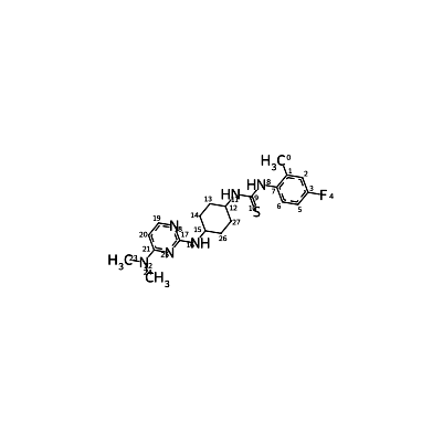 Cc1cc(F)ccc1NC(=S)NC1CCC(Nc2nccc(N(C)C)n2)CC1